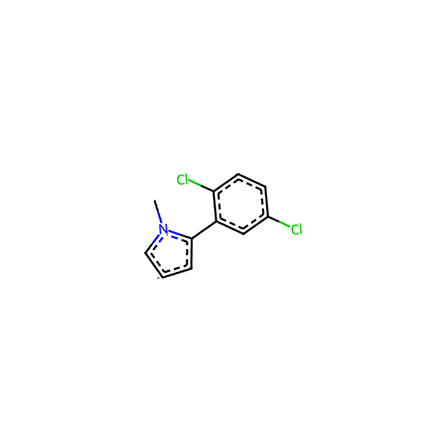 Cn1c[c]cc1-c1cc(Cl)ccc1Cl